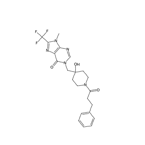 Cn1c(C(F)(F)F)nc2c(=O)n(CC3(O)CCN(C(=O)CCc4ccccc4)CC3)cnc21